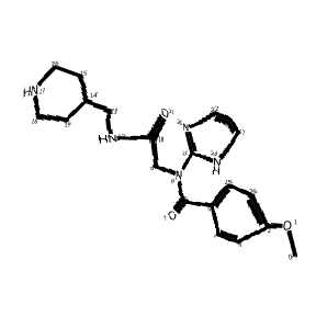 COc1ccc(C(=O)N(CC(=O)NCC2CCNCC2)c2ncc[nH]2)cc1